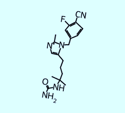 Cc1ncc(CCCC(C)(C)NC(N)=O)n1Cc1ccc(C#N)c(F)c1